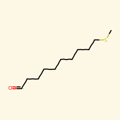 CSCCCCCCCCC[C]=O